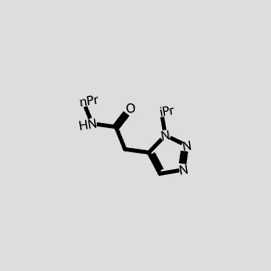 CCCNC(=O)Cc1cnnn1C(C)C